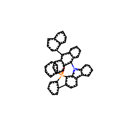 O=P1(c2ccccc2)c2ccccc2-c2ccc3c4ccccc4n(-c4c5ccccc5c(-c5cccc6ccccc56)c5ccccc45)c3c21